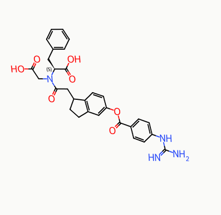 N=C(N)Nc1ccc(C(=O)Oc2ccc3c(c2)CCC3CC(=O)N(CC(=O)O)[C@@H](Cc2ccccc2)C(=O)O)cc1